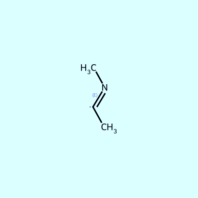 C/[C]=N/C